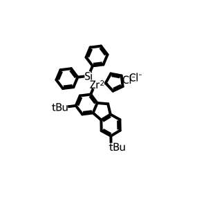 CC(C)(C)c1ccc2c(c1)-c1cc(C(C)(C)C)c[c]([Zr+2]([CH]3C=CC=C3)=[Si](c3ccccc3)c3ccccc3)c1C2.[Cl-].[Cl-]